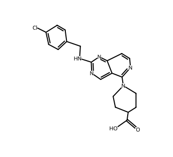 O=C(O)C1CCN(c2nccc3nc(NCc4ccc(Cl)cc4)ncc23)CC1